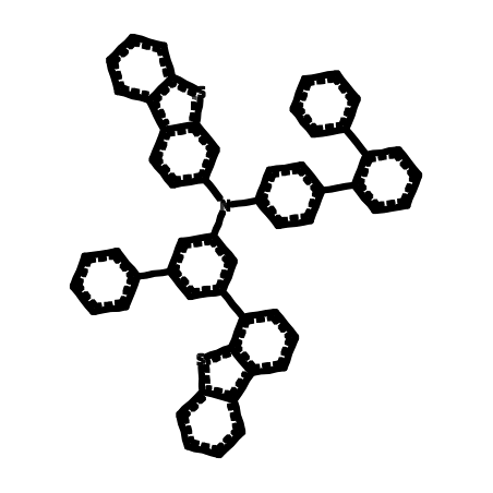 c1ccc(-c2cc(-c3cccc4c3sc3ccccc34)cc(N(c3ccc(-c4ccccc4-c4ccccc4)cc3)c3ccc4c(c3)sc3ccccc34)c2)cc1